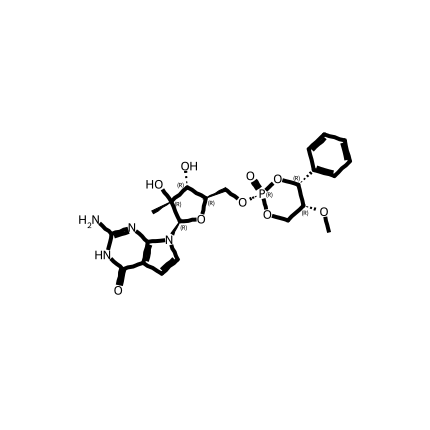 CO[C@@H]1CO[P@](=O)(OC[C@H]2O[C@@H](n3ccc4c(=O)[nH]c(N)nc43)[C@](C)(O)[C@@H]2O)O[C@@H]1c1ccccc1